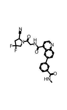 CNC(=O)c1cccc(-c2ccc3nccc(C(=O)NCC(=O)N4CC(F)(F)CC4C#N)c3c2)c1